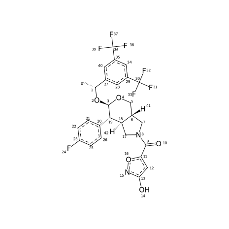 C[C@@H](O[C@H]1OC[C@@H]2CN(C(=O)c3cc(O)no3)C[C@H]2[C@@H]1c1ccc(F)cc1)c1cc(C(F)(F)F)cc(C(F)(F)F)c1